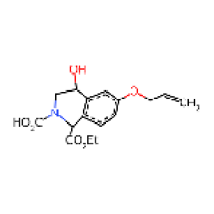 C=CCOc1ccc2c(c1)C(O)CN(C(=O)O)C2C(=O)OCC